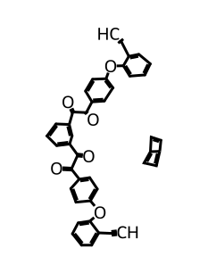 C#Cc1ccccc1Oc1ccc(C(=O)C(=O)c2cccc(C(=O)C(=O)c3ccc(Oc4ccccc4C#C)cc3)c2)cc1.c1cc2ccc1-2